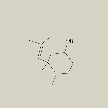 CC(C)=CC1(C)CC(O)CCC1C